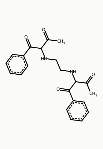 CC(=O)C(NCCNC(C(C)=O)C(=O)c1ccccc1)C(=O)c1ccccc1